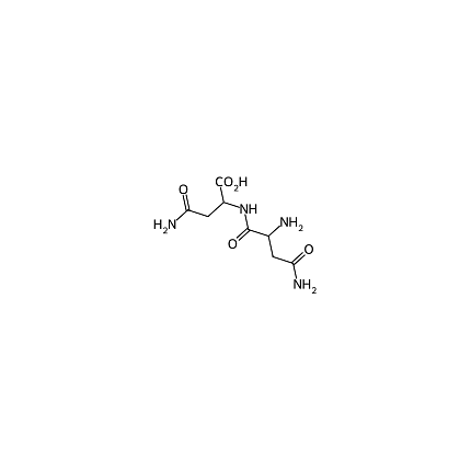 NC(=O)CC(N)C(=O)NC(CC(N)=O)C(=O)O